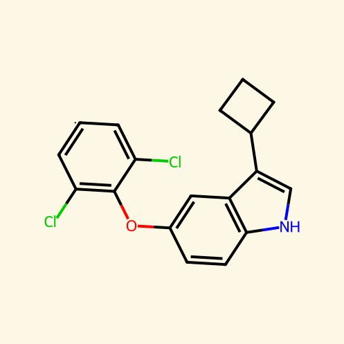 Clc1c[c]cc(Cl)c1Oc1ccc2[nH]cc(C3CCC3)c2c1